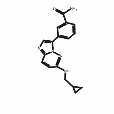 NC(=O)c1cccc(-c2cnc3ccc(NCC4CC4)nn23)c1